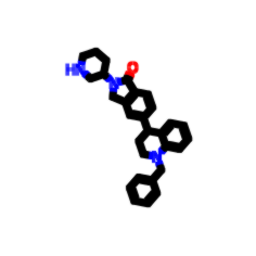 O=C1c2ccc(C3CCN(Cc4ccccc4)c4ccccc43)cc2CN1C1CCCNC1